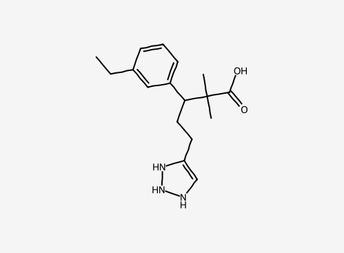 CCc1cccc(C(CCC2=CNNN2)C(C)(C)C(=O)O)c1